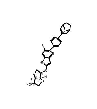 CN1C2C=C(c3ccc(-c4nc5cc(O[C@@H]6CO[C@H]7[C@@H]6OC[C@H]7O)[nH]c5cc4F)cc3)CC1CC2